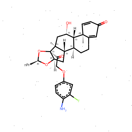 CCC[C@@H]1O[C@@H]2C[C@H]3[C@@H]4CCC5=CC(=O)C=C[C@]5(C)[C@H]4[C@@H](O)C[C@]3(C)[C@]2(C(=O)COc2ccc(N)c(F)c2)O1